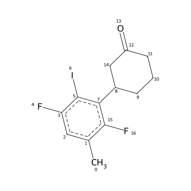 Cc1cc(F)c(I)c(C2CCCC(=O)C2)c1F